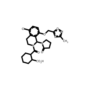 Cc1noc(COc2ccc(Cl)c3c2C(N2CCCC2=O)N(C(=O)C2CCCCC2C(=O)O)CC3)n1